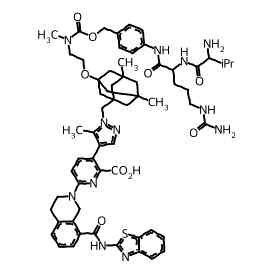 Cc1c(-c2ccc(N3CCc4cccc(C(=O)Nc5nc6ccccc6s5)c4C3)nc2C(=O)O)cnn1CC12CC3(C)CC(C)(C1)CC(OCCN(C)C(=O)OCc1ccc(NC(=O)C(CCCNC(N)=O)NC(=O)C(N)C(C)C)cc1)(C3)C2